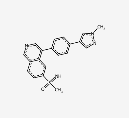 Cn1cc(-c2ccc(-c3cncc4ccc(S(C)(=N)=O)cc34)cc2)cn1